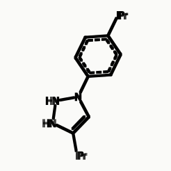 CC(C)C1=CN(c2ccc(C(C)C)cc2)NN1